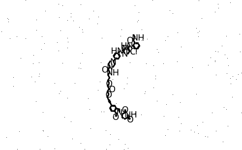 CNC(=O)c1ccccc1Nc1nc(Nc2ccc(N3CCN(C(=O)NCCCOCC(=O)COCC#Cc4ccc5c(c4)CN(C4CCC(=O)NC4=O)C5=O)CC3)cc2)ncc1Cl